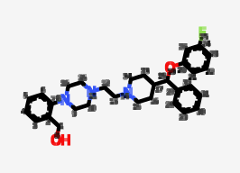 OCc1ccccc1N1CCN(CCN2CCC(C(Oc3cccc(F)c3)c3ccccc3)CC2)CC1